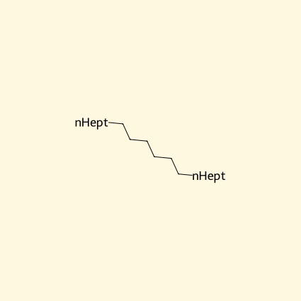 C[CH]CCCCCCCCCCCCCCCCCC